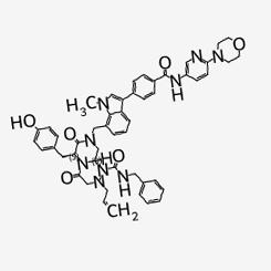 C=CCN1CC(=O)N2[C@@H](Cc3ccc(O)cc3)C(=O)N(Cc3cccc4c(-c5ccc(C(=O)Nc6ccc(N7CCOCC7)nc6)cc5)cn(C)c34)C[C@@H]2N1C(=O)NCc1ccccc1